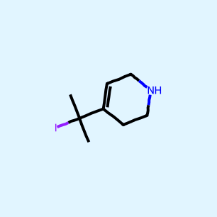 CC(C)(I)C1=CCNCC1